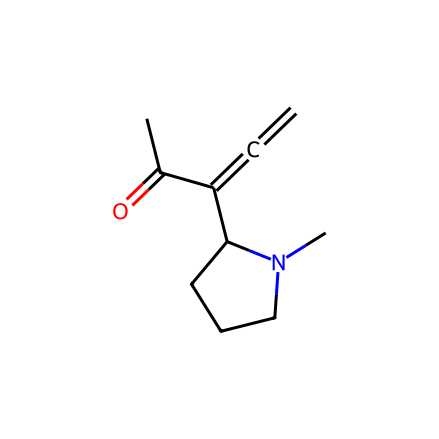 C=C=C(C(C)=O)C1CCCN1C